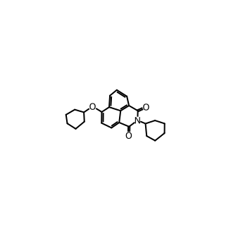 O=C1c2cccc3c(OC4CCCCC4)ccc(c23)C(=O)N1C1CCCCC1